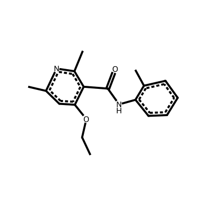 CCOc1cc(C)nc(C)c1C(=O)Nc1ccccc1C